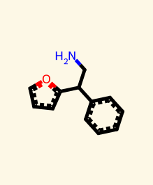 NCC(c1ccccc1)c1ccco1